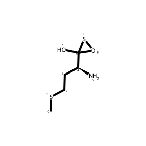 CSCC[C@H](N)C1(O)OS1